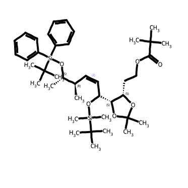 C[C@H](/C=C\C(O[Si](C)(C)C(C)(C)C)[C@H]1OC(C)(C)O[C@H]1CCOC(=O)C(C)(C)C)[C@H](C)O[Si](c1ccccc1)(c1ccccc1)C(C)(C)C